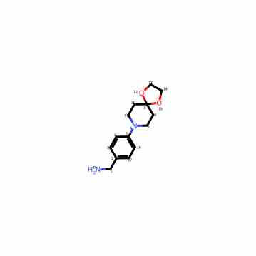 NCc1ccc(N2CCC3(CC2)OCCO3)cc1